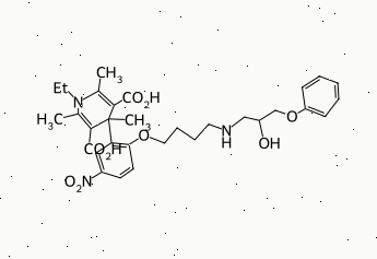 CCN1C(C)=C(C(=O)O)C(C)(c2cc([N+](=O)[O-])ccc2OCCCCNCC(O)COc2ccccc2)C(C(=O)O)=C1C